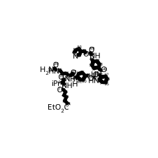 CCOC(=O)CCCCCC(=O)NC(C(=O)NC(CCCNC(N)=O)C(=O)Nc1ccc(COC(=O)Nc2ccccc2NC(=O)c2ccc(CNC(=O)OCc3cccnc3)cc2)cc1)C(C)C